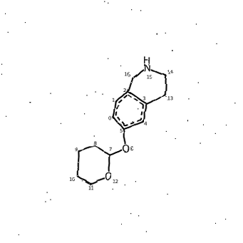 c1cc2c(cc1OC1CCCCO1)CCNC2